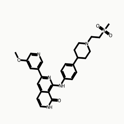 COc1cncc(-c2cc3cc[nH]c(=O)c3c(Nc3ccc(C4CCN(CCS(C)(=O)=O)CC4)cc3)n2)c1